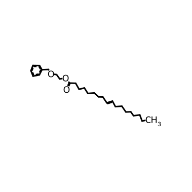 CCCCCCCCC=CCCCCCCCC(=O)OCCOCc1ccccc1